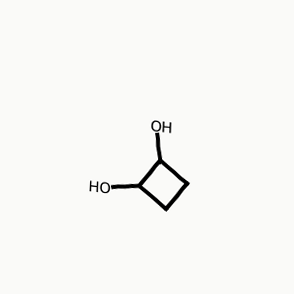 O[C]1CCC1O